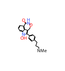 CNCCCc1ccc(-c2c3c4c(cccc4n2O)C(=O)NOC3)cc1